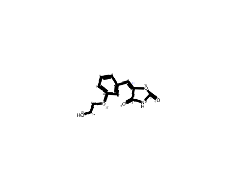 O=C1NC(=O)/C(=C\c2cccc(OCCO)c2)O1